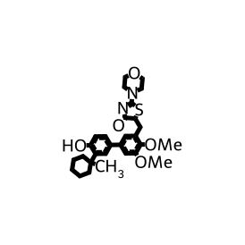 COc1cc(-c2ccc(O)c(C3(C)CCCCC3)c2)cc(CC2SC(N3CCOCC3)=NC2=O)c1OC